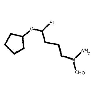 CCC(CCCN(N)C=O)OC1CCCC1